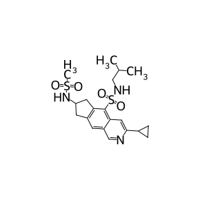 CC(C)CNS(=O)(=O)c1c2c(cc3cnc(C4CC4)cc13)CC(NS(C)(=O)=O)C2